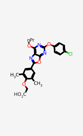 CCCOc1nc(Oc2ccc(Cl)cc2)nc2oc(-c3cc(C)c(OCC(=O)O)c(C)c3)nc12